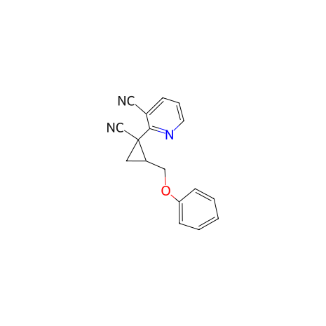 N#Cc1cccnc1C1(C#N)CC1COc1ccccc1